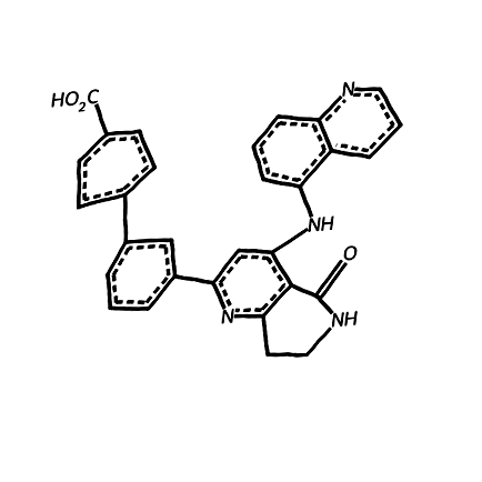 O=C(O)c1ccc(-c2cccc(-c3cc(Nc4cccc5ncccc45)c4c(n3)CCNC4=O)c2)cc1